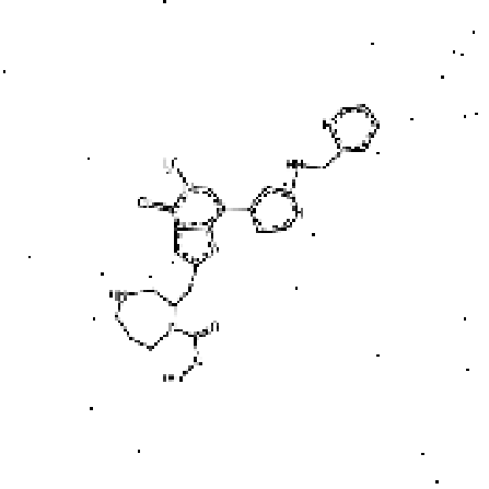 Cn1cc(-c2ccnc(NCc3ccccn3)c2)c2oc(CC3CNCCCN3C(=O)OC(C)(C)C)cc2c1=O